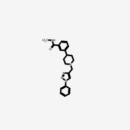 CNC(=O)c1cccc(C2CCN(Cc3cn(-c4ccccc4)nn3)CC2)c1